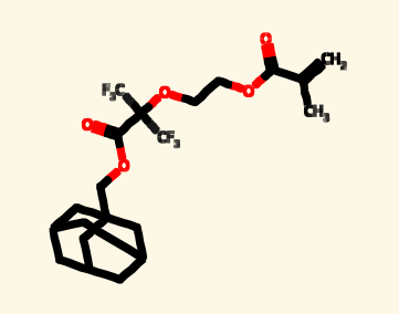 C=C(C)C(=O)OCCOC(C(=O)OCC12CC3CC(CC(C3)C1)C2)(C(F)(F)F)C(F)(F)F